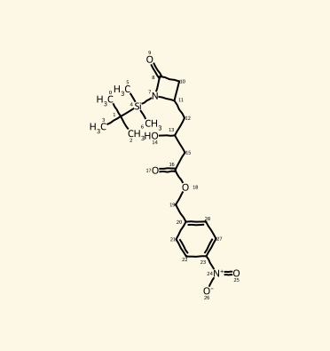 CC(C)(C)[Si](C)(C)N1C(=O)CC1CC(O)CC(=O)OCc1ccc([N+](=O)[O-])cc1